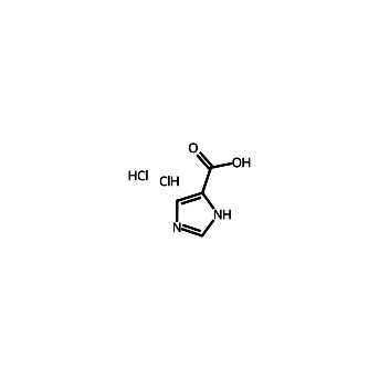 Cl.Cl.O=C(O)c1cnc[nH]1